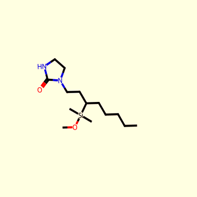 CCCCCC(CCN1CCNC1=O)[Si](C)(C)OC